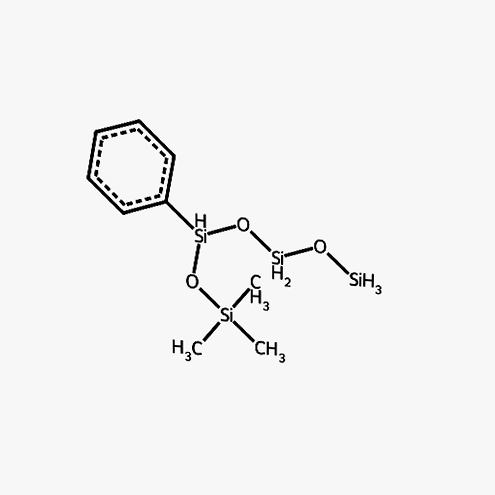 C[Si](C)(C)O[SiH](O[SiH2]O[SiH3])c1ccccc1